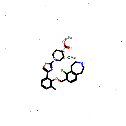 CO[C@@H]1CN(c2nc(-c3cccc(C)c3OCc3ccc4c(c3F)CCNCC4)cs2)CC[C@@H]1C(=O)OC(C)(C)C